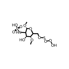 CO[C@@H]1OC(COSOOO)[C@H](OC)[C@@H](O)C1NS(=O)(=O)O